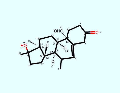 CC1C=C2CC(=O)CC[C@]2(C=O)[C@@H]2CC[C@@]3(C)[C@@H](CCC3(C)O)[C@H]12